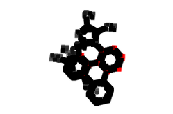 Cc1nc(C#N)c(C#N)n1-c1ccccc1-c1ccccc1-c1ccccc1-c1ccccc1-n1c(C)nc(C#N)c1C#N